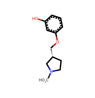 O=C(O)N1CC[C@@H](COc2cccc(O)c2)C1